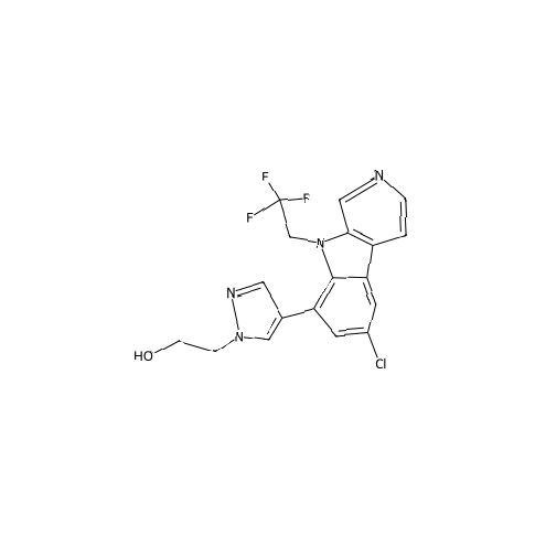 OCCn1cc(-c2cc(Cl)cc3c4ccncc4n(CC(F)(F)F)c23)cn1